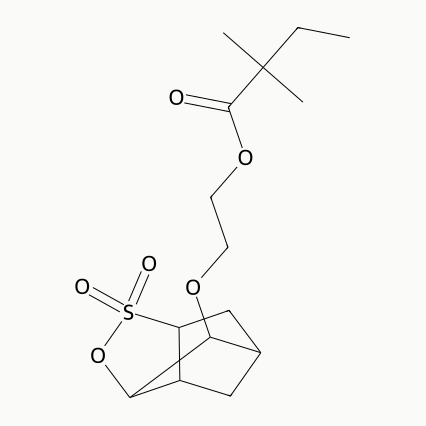 CCC(C)(C)C(=O)OCCOC1C2CC3C1OS(=O)(=O)C3C2